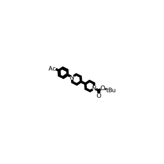 CC(=O)c1ccc(N2CCC(C3CCN(C(=O)OC(C)(C)C)CC3)CC2)cc1